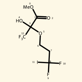 COC(=O)C(O)(OCCC(F)(F)I)C(F)(F)F